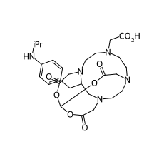 CC(C)Nc1ccc(CC2CN3CCN4CCN(CC(=O)O)CCN2CC(=O)OC(OC(=O)C4)OC(=O)C3)cc1